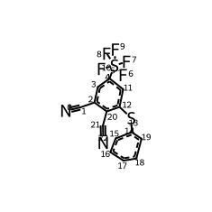 N#Cc1cc(S(F)(F)(F)(F)F)cc(Sc2ccccc2)c1C#N